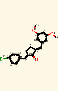 COc1cc(/C=C2\CC/C(=C\c3ccc(Br)cc3)C2=O)cc(OC)c1